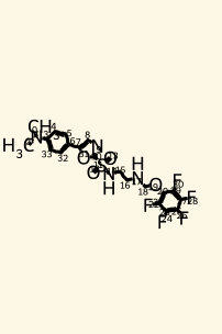 CN(C)c1ccc(-c2cnc(S(=O)(=O)NCCNCOc3c(F)c(F)c(F)c(F)c3F)o2)cc1